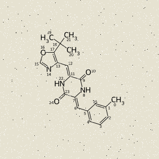 Cc1cccc(C=c2[nH]c(=O)c(=Cc3ncoc3C(C)(C)C)[nH]c2=O)c1